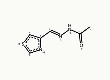 CC(=O)N/N=C/c1cs[c]n1